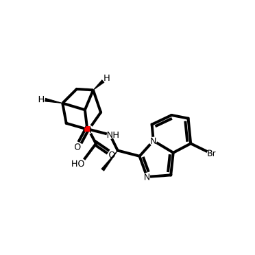 C[C@@H](NC(=O)C1[C@@H]2C[C@H]1CN(C(=O)O)C2)c1ncc2c(Br)cccn12